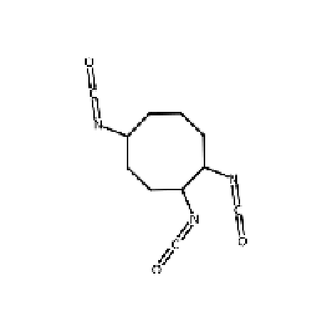 O=C=NC1CCCC(N=C=O)C(N=C=O)CC1